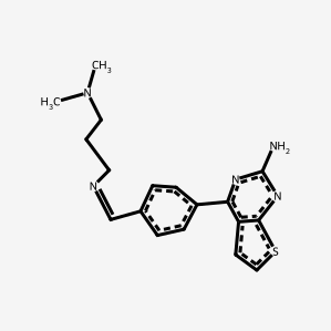 CN(C)CCC/N=C\c1ccc(-c2nc(N)nc3sccc23)cc1